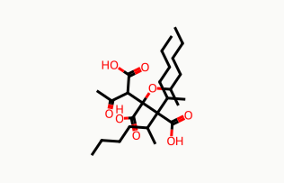 CCCCC(C)OC(C(=O)O)(C(C(C)=O)C(=O)O)C(C(=O)O)(C(C)CCCC)C(C)CCCC